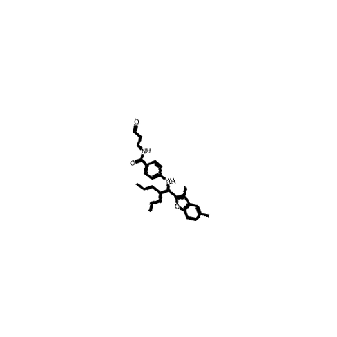 CCCC(CCC)C(Nc1ccc(C(=O)NCCC=O)cc1)c1oc2ccc(C)cc2c1C